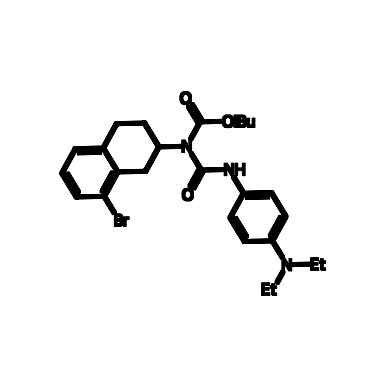 CCN(CC)c1ccc(NC(=O)N(C(=O)OCC(C)C)C2CCc3cccc(Br)c3C2)cc1